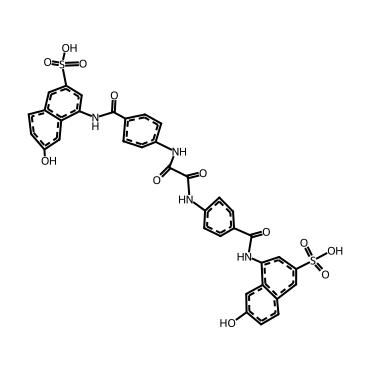 O=C(Nc1ccc(C(=O)Nc2cc(S(=O)(=O)O)cc3ccc(O)cc23)cc1)C(=O)Nc1ccc(C(=O)Nc2cc(S(=O)(=O)O)cc3ccc(O)cc23)cc1